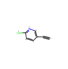 C#Cc1ccc(Cl)nc1